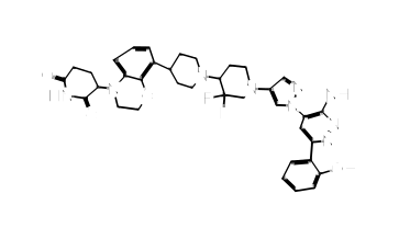 Nc1nnc(-c2ccccc2O)cc1-n1cc(N2CCC(N3CCC(c4cccc5c4OCCN5C4CCC(=O)NC4=O)CC3)C(F)(F)C2)cn1